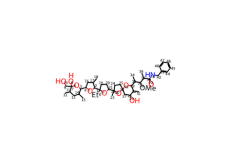 CCC1(C2OC(C3OC(O)(CO)C(C)CC3C)CC2C)CCC(C2(C)CCC3(CC(O)C(C)C(C(C)C(OC)C(C)C(=O)NCc4ccccc4)O3)O2)O1